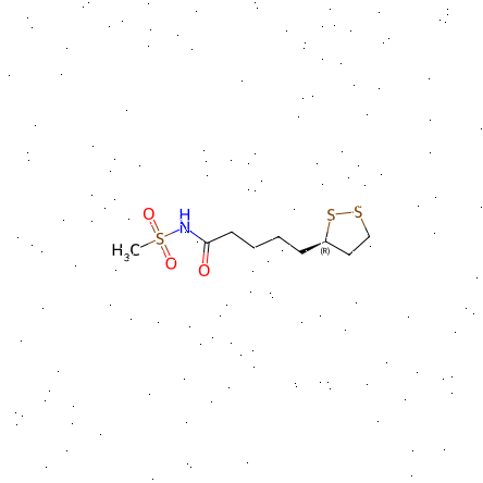 CS(=O)(=O)NC(=O)CCCC[C@@H]1CCSS1